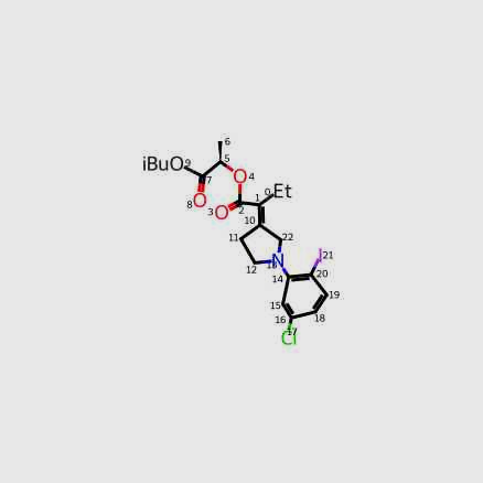 CC/C(C(=O)O[C@H](C)C(=O)OCC(C)C)=C1/CCN(c2cc(Cl)ccc2I)C1